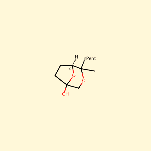 CCCCCC1(C)OCC2(O)CC[C@@H]1O2